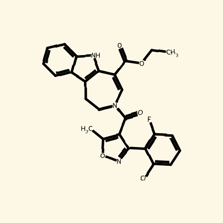 CCOC(=O)C1=CN(C(=O)c2c(-c3c(F)cccc3Cl)noc2C)CCc2c1[nH]c1ccccc21